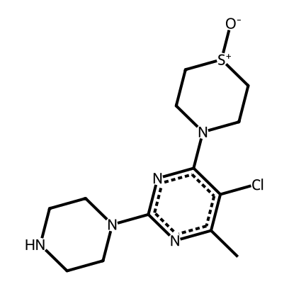 Cc1nc(N2CCNCC2)nc(N2CC[S+]([O-])CC2)c1Cl